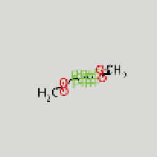 C=CC(=O)OCCC(F)(F)C(F)(F)C(F)(F)C(F)(F)C(F)(F)C(F)(F)OC(=O)C=C